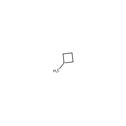 CP1CCC1